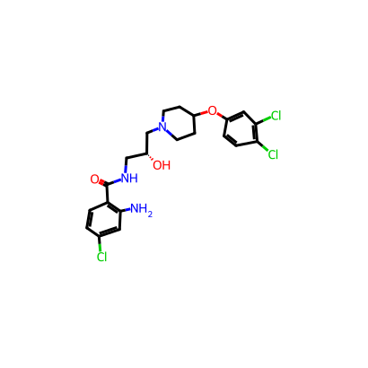 Nc1cc(Cl)ccc1C(=O)NC[C@@H](O)CN1CCC(Oc2ccc(Cl)c(Cl)c2)CC1